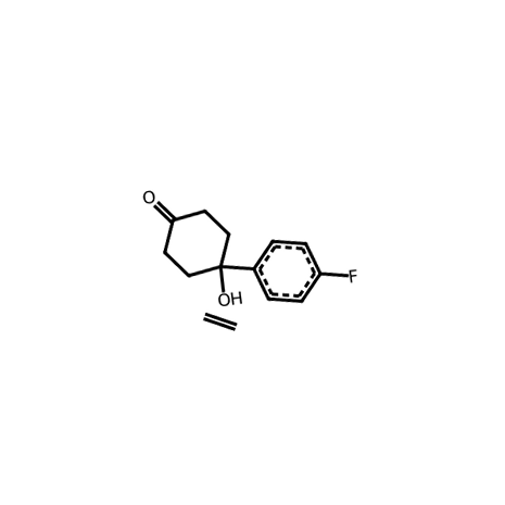 C=C.O=C1CCC(O)(c2ccc(F)cc2)CC1